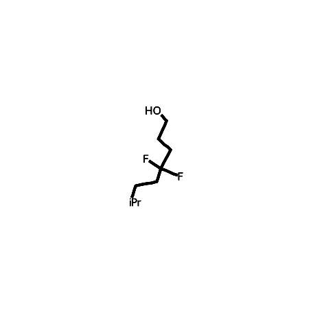 CC(C)CCC(F)(F)CCCO